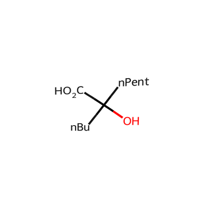 CCCCCC(O)(CCCC)C(=O)O